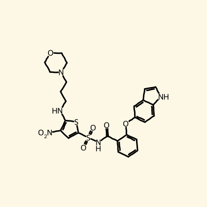 O=C(NS(=O)(=O)c1cc([N+](=O)[O-])c(NCCCN2CCOCC2)s1)c1ccccc1Oc1ccc2[nH]ccc2c1